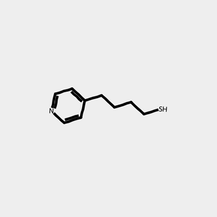 SCCCCc1ccncc1